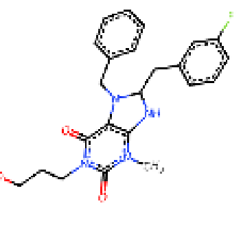 Cn1c2c(c(=O)n(CCCO)c1=O)N(Cc1ccccc1)C(Cc1cccc(F)c1)N2